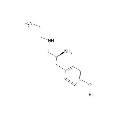 CCOc1ccc(C[C@H](N)CNCCN)cc1